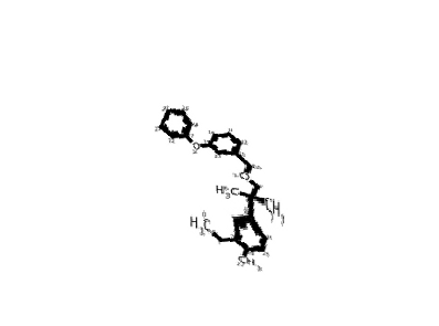 CCc1cc(C(C)(C)COCc2cccc(Oc3ccccc3)c2)ccc1C